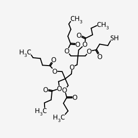 CCCCC(=O)OCC(COCC(COC(=O)CCC)(COC(=O)CCS)COC(=O)CCCC)(COC(=O)CCC)COC(=O)CCC